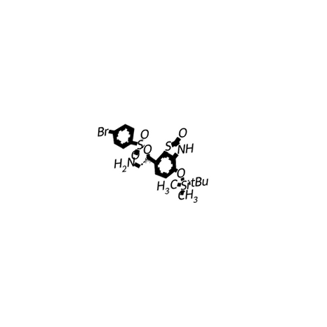 CC(C)(C)[Si](C)(C)Oc1ccc([C@H](CN)OS(=O)(=O)c2ccc(Br)cc2)c2sc(=O)[nH]c12